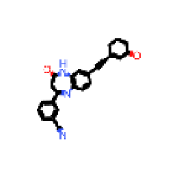 N#Cc1cccc(C2=Nc3ccc(C#CC4=CC(=O)CCC4)cc3NC(=O)C2)c1